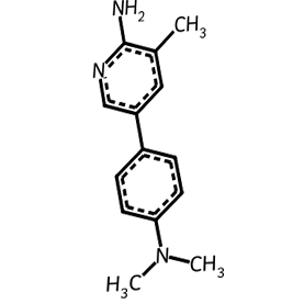 Cc1cc(-c2ccc(N(C)C)cc2)cnc1N